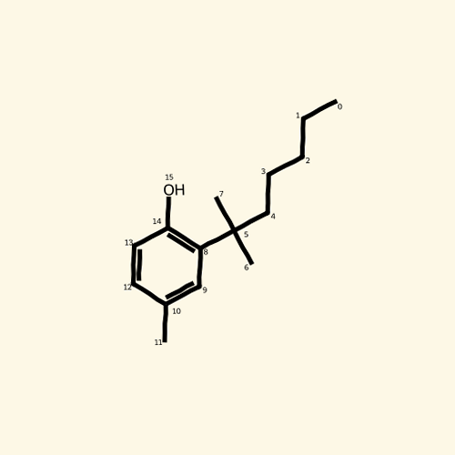 CCCCCC(C)(C)c1cc(C)ccc1O